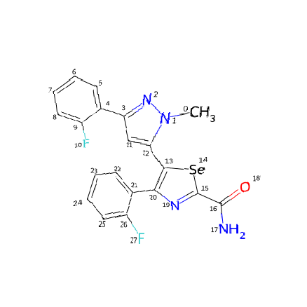 Cn1nc(-c2ccccc2F)cc1-c1[se]c(C(N)=O)nc1-c1ccccc1F